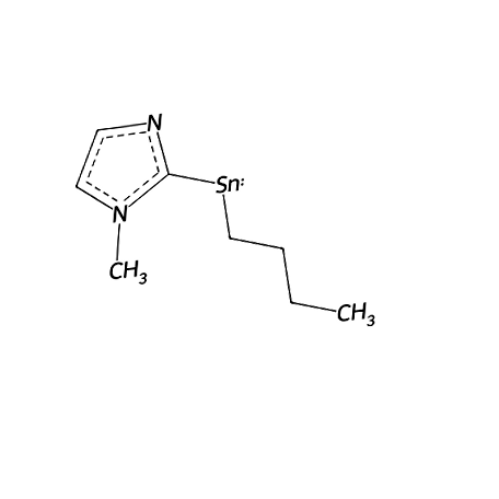 CCC[CH2][Sn][c]1nccn1C